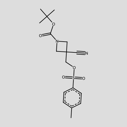 Cc1ccc(S(=O)(=O)OCC2(C#N)CN(C(=O)OC(C)(C)C)C2)cc1